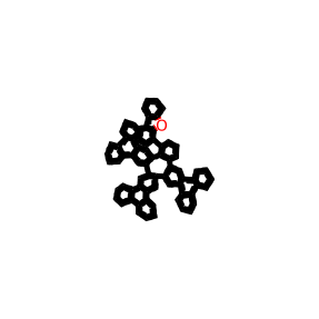 c1cc2c(c(-c3cccc4c3oc3ccccc34)c1)-c1cc3c4ccccc4c4ccccc4c3cc1-c1cc3c4ccccc4c4ccccc4c3cc1-c1cc3c4ccccc4c4ccccc4c3cc1-2